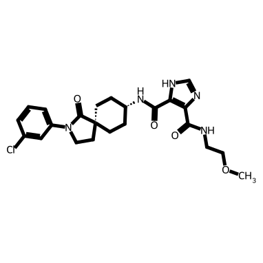 COCCNC(=O)c1nc[nH]c1C(=O)N[C@H]1CC[C@@]2(CCN(c3cccc(Cl)c3)C2=O)CC1